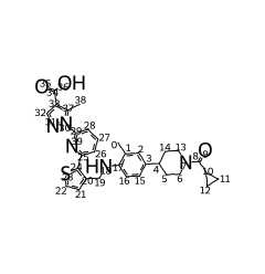 Cc1cc(C2CCN(C(=O)C3CC3)CC2)ccc1NCc1ccsc1-c1cccc(-n2ncc(C(=O)O)c2C)n1